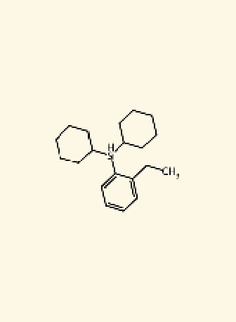 CCc1ccccc1[SiH](C1CCCCC1)C1CCCCC1